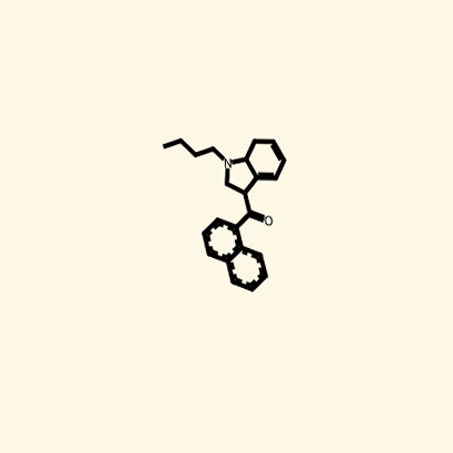 CCCCN1CC(C(=O)c2cccc3ccccc23)C2=CC=CCC21